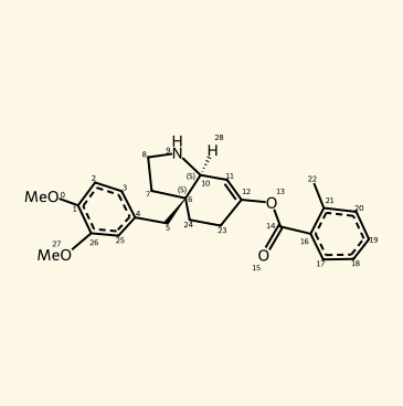 COc1ccc(C[C@@]23CCN[C@H]2C=C(OC(=O)c2ccccc2C)CC3)cc1OC